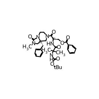 CN1C[C@]2(Cc3ccccc3)CN(C(=O)[C@@H](COC(=O)c3ccccc3)NC(=O)C(C)(C)NC(=O)OC(C)(C)C)CCN2C1=O